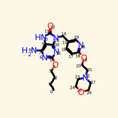 CCCCOc1nc(N)c2[nH]c(=O)n(Cc3ccc(OCCN4CCOCC4)nc3)c2n1